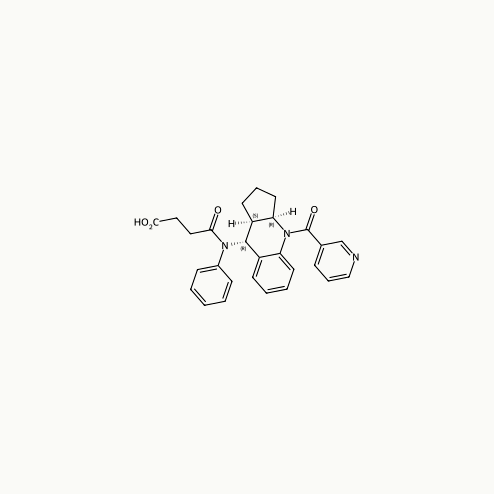 O=C(O)CCC(=O)N(c1ccccc1)[C@H]1c2ccccc2N(C(=O)c2cccnc2)[C@@H]2CCC[C@@H]21